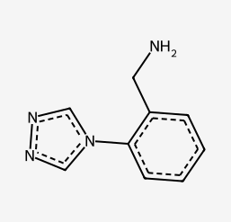 NCc1ccccc1-n1cnnc1